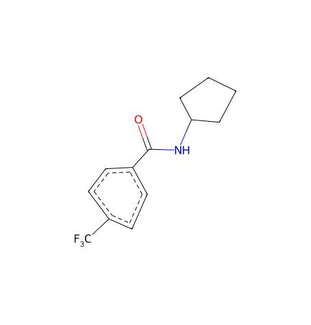 O=C(NC1CCCC1)c1ccc(C(F)(F)F)cc1